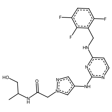 CC(CO)NC(=O)Cn1cc(Nc2nccc(NCc3c(F)ccc(F)c3F)n2)cn1